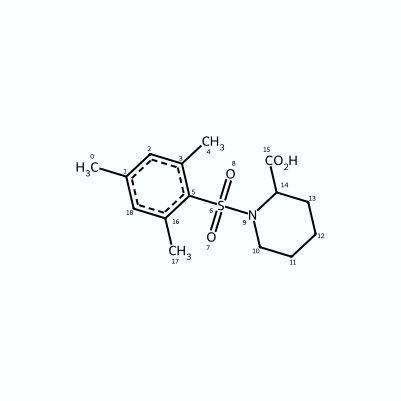 Cc1cc(C)c(S(=O)(=O)N2CCCCC2C(=O)O)c(C)c1